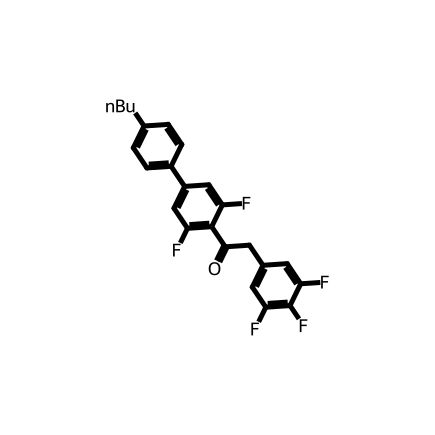 CCCCc1ccc(-c2cc(F)c(C(=O)Cc3cc(F)c(F)c(F)c3)c(F)c2)cc1